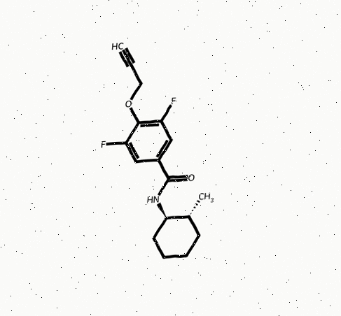 C#CCOc1c(F)cc(C(=O)N[C@@H]2CCCC[C@H]2C)cc1F